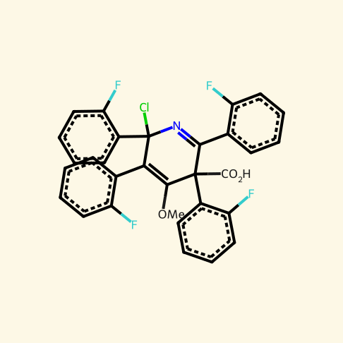 COC1=C(c2ccccc2F)C(Cl)(c2ccccc2F)N=C(c2ccccc2F)C1(C(=O)O)c1ccccc1F